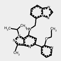 CCOc1ncccc1-c1cc(NCc2cccc3ncnn23)c2c(n1)c(C)nn2C(C)C